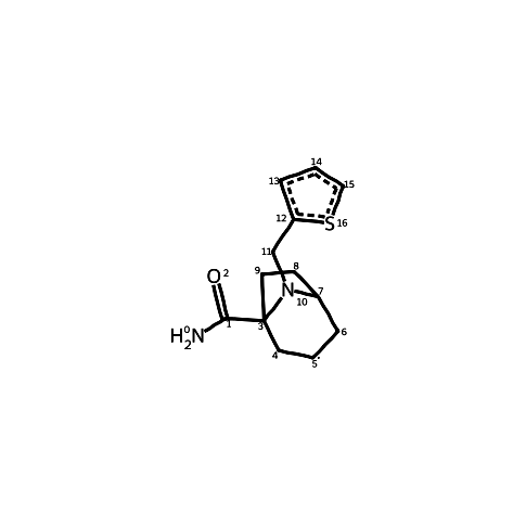 NC(=O)C12C[CH]CC(CC1)N2Cc1cccs1